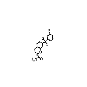 NC(=O)[C@H]1CCc2ccc(S(=O)(=O)c3cccc(F)c3)cc2O1